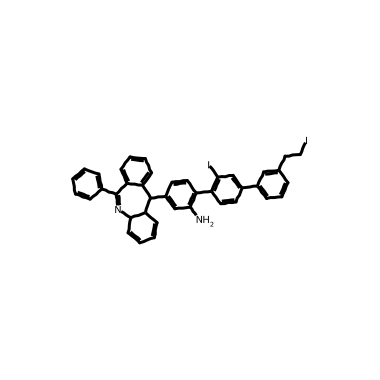 Nc1cc(C2c3ccccc3C(c3ccccc3)=NC3C=CC=CC32)ccc1-c1ccc(-c2cccc(CCI)c2)cc1I